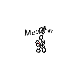 CCCc1nc2ccc(OC)nc2n1Cc1ccc(-c2ccccc2-c2nnnn2C(c2ccccc2)(c2ccccc2)c2ccccc2)cc1